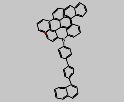 c1ccc(-c2cccc3cccc(-c4ccccc4N(c4ccc(-c5ccc(-c6cccc7ccccc67)cc5)cc4)c4cccc(-c5cccc6ccccc56)c4)c23)cc1